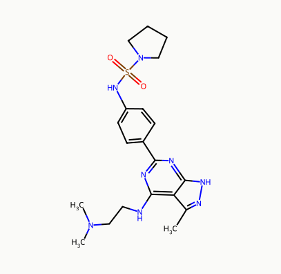 Cc1n[nH]c2nc(-c3ccc(NS(=O)(=O)N4CCCC4)cc3)nc(NCCN(C)C)c12